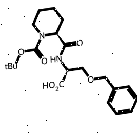 CC(C)(C)OC(=O)N1CCCC[C@H]1C(=O)N[C@@H](COCc1ccccc1)C(=O)O